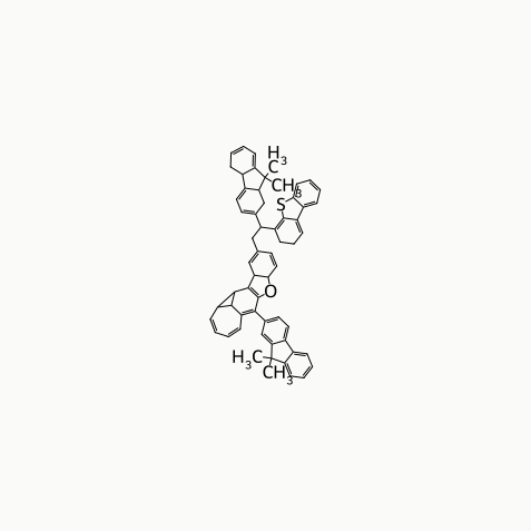 CC1(C)c2ccccc2-c2ccc(C3=C4C=CC=CC5C4C5C4=C3OC3C=CC(CC(C5=CC=C6C7CC=CC=C7C(C)(C)C6C5)C5=c6sc7ccccc7c6=CCC5)=CC43)cc21